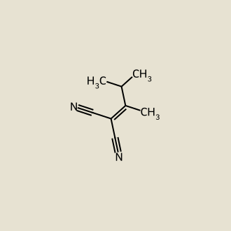 CC(=C(C#N)C#N)C(C)C